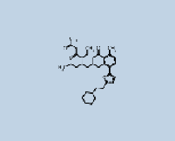 CCCC(CC1CC(=O)c2c(C)ccc(-c3ccc(CCC4CCCCC4)o3)c2C1)C(CC)C(=O)CC(C)=O